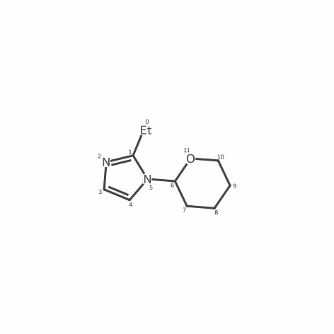 CCc1nccn1C1CCCCO1